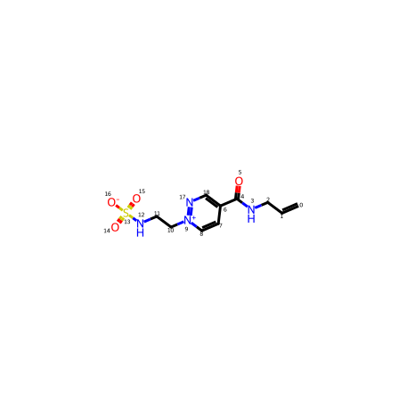 C=CCNC(=O)c1cc[n+](CCNS(=O)(=O)[O-])nc1